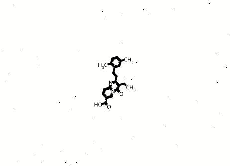 CCc1c(C=Cc2cc(C)ccc2C)nc2ccc(C(=O)O)cn2c1=O